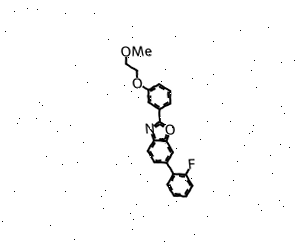 COCCOc1cccc(-c2nc3ccc(-c4ccccc4F)cc3o2)c1